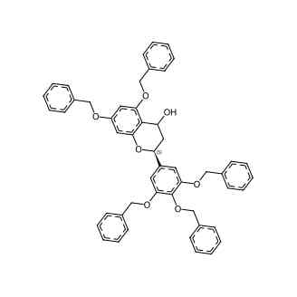 OC1C[C@@H](c2cc(OCc3ccccc3)c(OCc3ccccc3)c(OCc3ccccc3)c2)Oc2cc(OCc3ccccc3)cc(OCc3ccccc3)c21